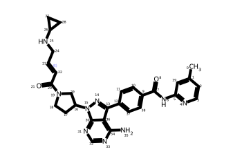 Cc1ccnc(NC(=O)c2ccc(-c3nn(C4CCN(C(=O)/C=C/CNC5CC5)C4)c4ncnc(N)c34)cc2)c1